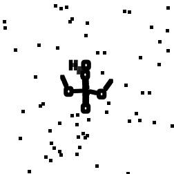 COS(=O)(=O)OC.O